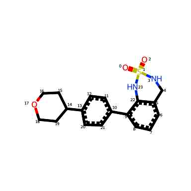 O=S1(=O)NCc2cccc(-c3ccc(C4CCOCC4)cc3)c2N1